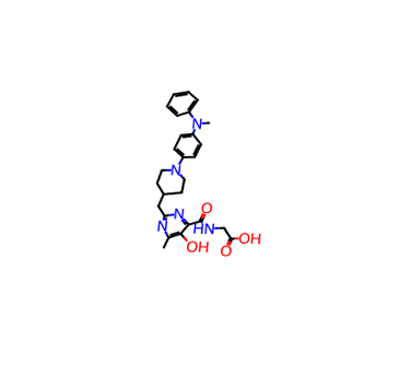 Cc1nc(CC2CCN(c3ccc(N(C)c4ccccc4)cc3)CC2)nc(C(=O)NCC(=O)O)c1O